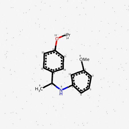 COc1cccc(NC(C)c2ccc(OC(C)C)cc2)c1